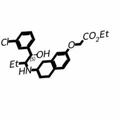 CCOC(=O)COc1ccc2c(c1)CC(NC(CC)[C@@H](O)c1cccc(Cl)c1)CC2